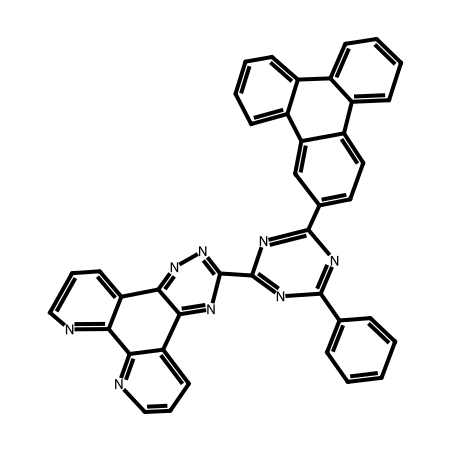 c1ccc(-c2nc(-c3ccc4c5ccccc5c5ccccc5c4c3)nc(-c3nnc4c5cccnc5c5ncccc5c4n3)n2)cc1